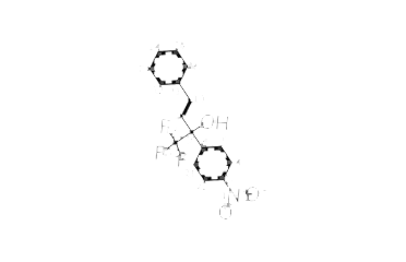 O=[N+]([O-])c1ccc(C(O)(C=Cc2ccccc2)C(F)(F)F)cc1